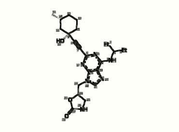 CCC(CC)Nc1nc(C#C[C@]2(O)CCC[C@@H](C)C2)nc2c1ncn2CC1CNC(=O)O1